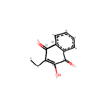 CCC1=C(O)C(=O)c2ccccc2C1=O